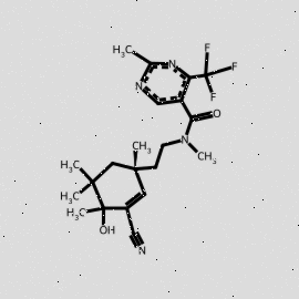 Cc1ncc(C(=O)N(C)CC[C@]2(C)C=C(C#N)C(C)(O)C(C)(C)C2)c(C(F)(F)F)n1